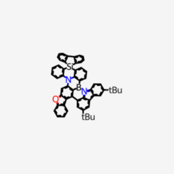 CC(C)(C)c1ccc2c(c1)c1cc(C(C)(C)C)cc3c1n2B1c2cccc4c2N(c2ccccc2[Si]42c4ccccc4-c4ccccc42)c2cc4oc5ccccc5c4c-3c21